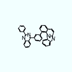 c1ccc(-c2nc(-c3cccc(-c4cccc5ccc6nc7ccccc7n6c45)c3)c3ccccc3n2)cc1